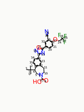 CC(C)(C)C1CN(C(=O)O)CCc2cc(-c3noc(-c4ccc(OCC(F)(F)F)c(C#N)c4)n3)ccc21